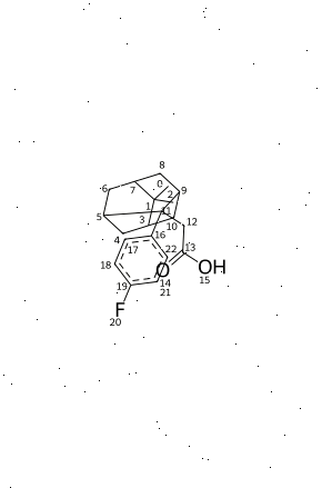 CC1(C)C2CC3CC1CC(C2)C3(CC(=O)O)c1ccc(F)cc1